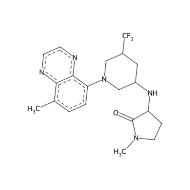 Cc1ccc(N2CC(NC3CCN(C)C3=O)CC(C(F)(F)F)C2)c2nccnc12